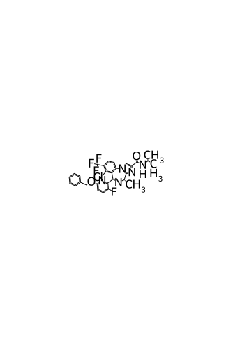 CC(C)NC(=O)c1cn2c(n1)[C@H](C)N=C(c1nc(OCc3ccccc3)ccc1F)c1c-2ccc(C(F)(F)F)c1Cl